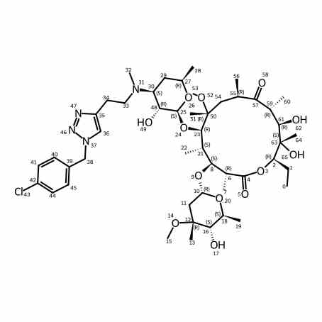 CC[C@H]1OC(=O)[C@H](C)[C@@H](O[C@H]2C[C@@](C)(OC)[C@@H](O)[C@H](C)O2)[C@H](C)[C@@H](O[C@@H]2O[C@H](C)C[C@H](N(C)CCc3cn(Cc4ccc(Cl)cc4)nn3)[C@H]2O)[C@](C)(OC)C[C@@H](C)C(=O)[C@H](C)[C@@H](O)[C@]1(C)O